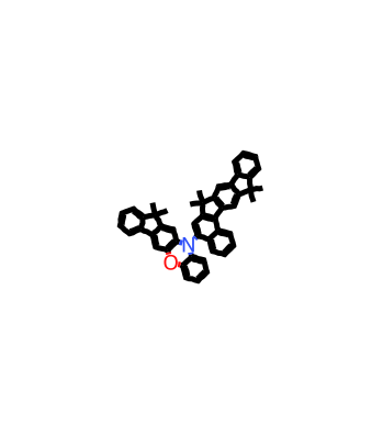 CC1(C)c2ccccc2-c2cc3c(cc21)-c1c(cc(N2c4ccccc4Oc4cc5c(cc42)C(C)(C)c2ccccc2-5)c2ccccc12)C3(C)C